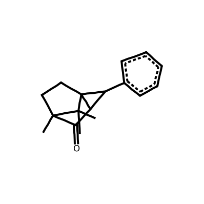 CC12CCC3(C(C1=O)C3c1ccccc1)C2(C)C